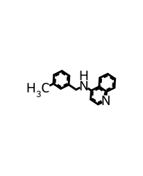 Cc1cccc(CNc2ccnc3ccccc23)c1